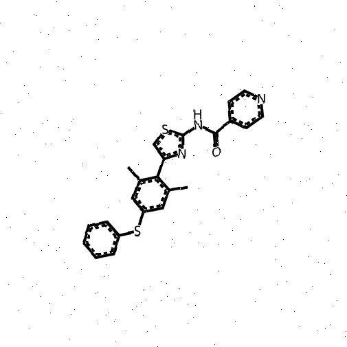 Cc1cc(Sc2ccccc2)cc(C)c1-c1csc(NC(=O)c2ccncc2)n1